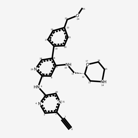 C#Cc1cnc(Nc2cc(NC[C@H]3CNCCO3)c(-c3ccc(COC)cc3)cn2)cn1